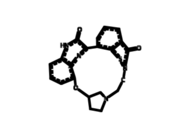 O=c1[nH]c2cccc3c2nc1-c1cccc2c(=O)n(sc12)CCN1CCC(C1)O3